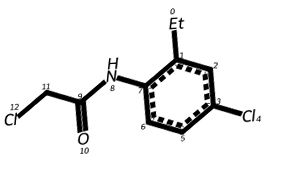 CCc1cc(Cl)ccc1NC(=O)CCl